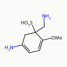 COC1=CC=C(N)CC1(CN)S(=O)(=O)O